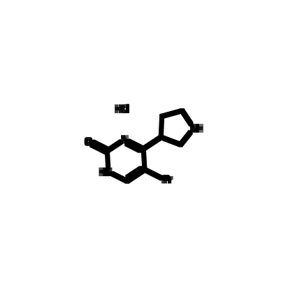 CC(C)c1c[nH]c(=O)nc1C1CCNC1.Cl